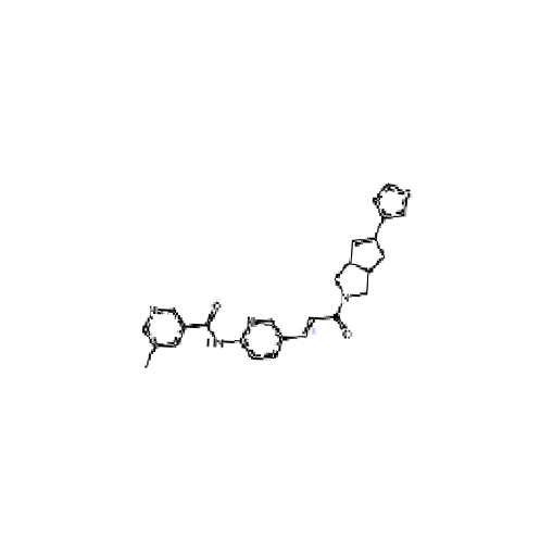 Cc1cncc(C(=O)Nc2ccc(/C=C/C(=O)N3CC4C=C(c5ccsc5)CC4C3)cn2)c1